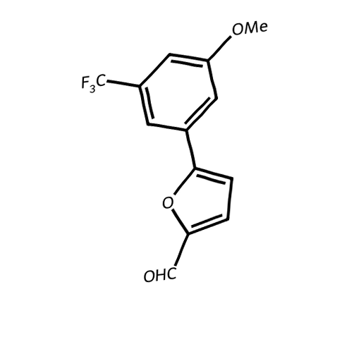 COc1cc(-c2ccc(C=O)o2)cc(C(F)(F)F)c1